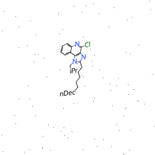 CCCCCCCCCCCCCCCc1nc2c(Cl)nc3ccccc3c2n1CC(C)C